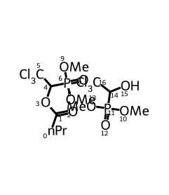 CCCC(=O)OC(C(Cl)(Cl)Cl)P(=O)(OC)OC.COP(=O)(OC)C(O)C(Cl)(Cl)Cl